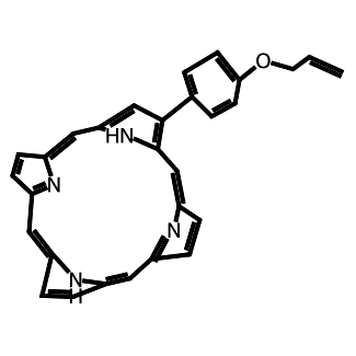 C=CCOc1ccc(-c2cc3cc4nc(cc5ccc(cc6nc(cc2[nH]3)C=C6)[nH]5)C=C4)cc1